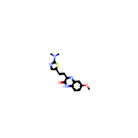 COc1ccc2[nH]c(=O)c(/C=C/c3cnc(N(C)C)s3)nc2c1